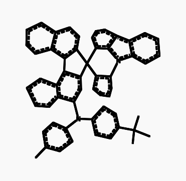 Cc1ccc(N(c2ccc(C(C)(C)C)cc2)c2cc3c(c4ccccc24)-c2c(ccc4ccccc24)C32c3ccccc3-n3c4ccccc4c4cccc2c43)cc1